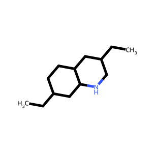 CCC1CNC2CC(CC)CCC2C1